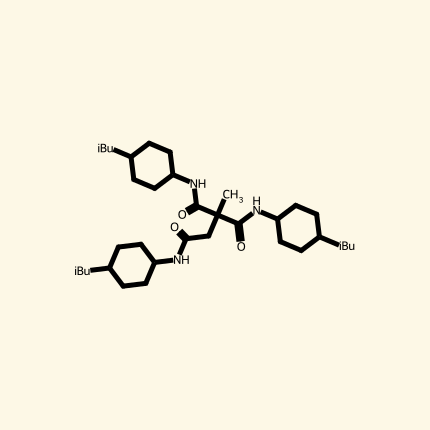 CCC(C)C1CCC(NC(=O)CC(C)(C(=O)NC2CCC(C(C)CC)CC2)C(=O)NC2CCC(C(C)CC)CC2)CC1